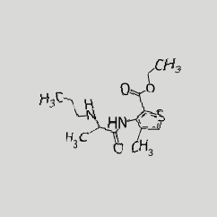 CCCNC(C)C(=O)Nc1c(C)csc1C(=O)OCC